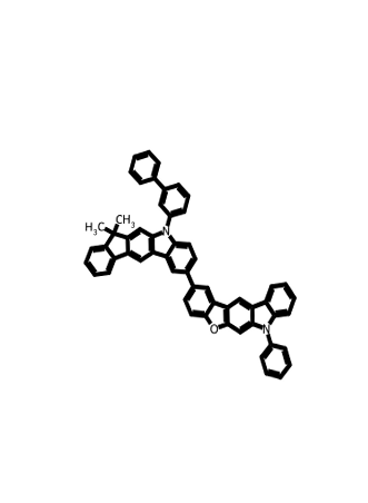 CC1(C)c2ccccc2-c2cc3c4cc(-c5ccc6oc7cc8c(cc7c6c5)c5ccccc5n8-c5ccccc5)ccc4n(-c4cccc(-c5ccccc5)c4)c3cc21